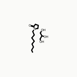 CCCCCCCCN1CCCC1=O.OCC(O)CO